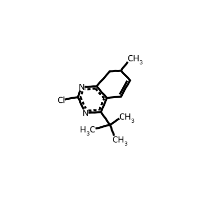 CC1C=Cc2c(nc(Cl)nc2C(C)(C)C)C1